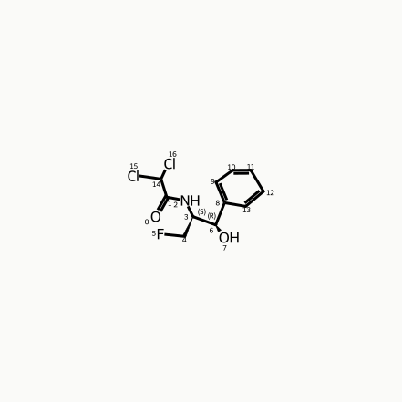 O=C(N[C@H](CF)[C@H](O)c1ccccc1)C(Cl)Cl